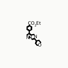 CCOC(=O)c1ccc(-c2cnn3cc(C4=CCOCC4)ncc23)cc1